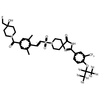 [2H]C([2H])([2H])C([2H])(Oc1ccc(C2=NC3(CCN(S(=O)(=O)/C=C/c4c(C)cc(C(=O)N5CCC(O)(CF)CC5)cc4C)CC3)C(=O)N2)cc1C(F)(F)F)C([2H])([2H])[2H]